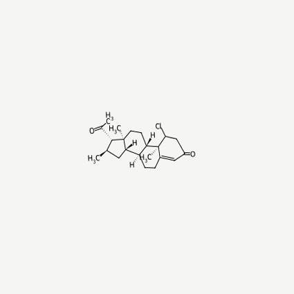 CC(=O)[C@H]1[C@H](C)C[C@H]2[C@@H]3CCC4=CC(=O)CC(Cl)[C@]4(C)[C@H]3CC[C@@]21C